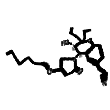 CCCCCCOC1=CC(=O)N([C@@H]2c3cc(C#N)ccc3OC(CC)(CC)[C@H]2O)C1